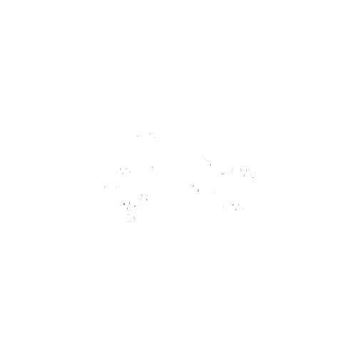 CCN(Cc1cc([N+](=O)[O-])cc2nc(OC)c(OC)nc12)[C@@H](C)P(=O)(OC)OC